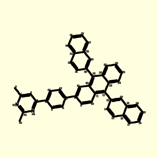 Cc1cc(-c2ccc(-c3ccc4c(-c5ccc6ccccc6c5)c5ccccc5c(-c5ccc6ccccc6c5)c4c3)cc2)nc(C)n1